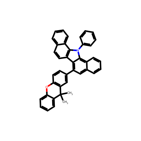 CC1(C)c2ccccc2Oc2ccc(-c3cc4ccccc4c4c3c3ccc5ccccc5c3n4-c3ccccc3)cc21